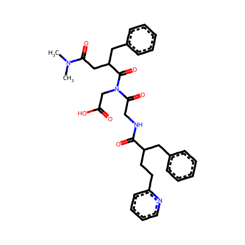 CN(C)C(=O)CC(Cc1ccccc1)C(=O)N(CC(=O)O)C(=O)CNC(=O)C(CCc1ccccn1)Cc1ccccc1